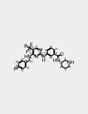 O=C(N[C@H]1CCCNC1)c1cccc(Nc2ncc(C(F)(F)F)c(NCc3ccc(F)cc3)n2)c1